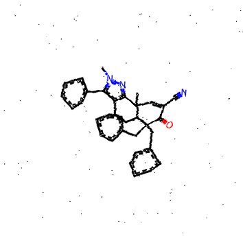 Cn1nc2c(c1-c1ccccc1)CCC1C(Cc3ccccc3)(Cc3ccccc3)C(=O)C(C#N)=CC21C